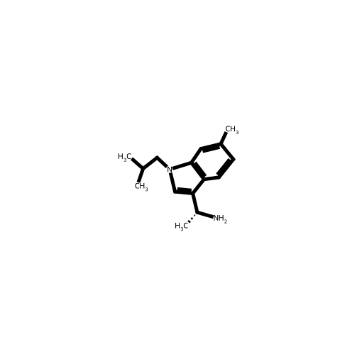 Cc1ccc2c([C@@H](C)N)cn(CC(C)C)c2c1